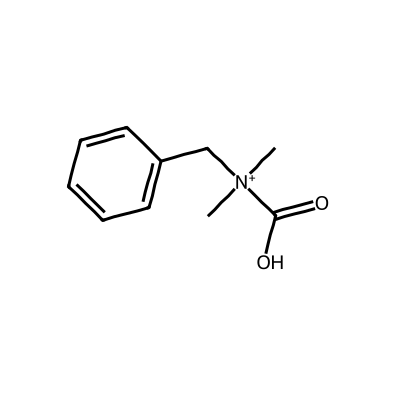 C[N+](C)(Cc1ccccc1)C(=O)O